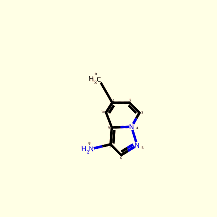 Cc1ccn2ncc(N)c2c1